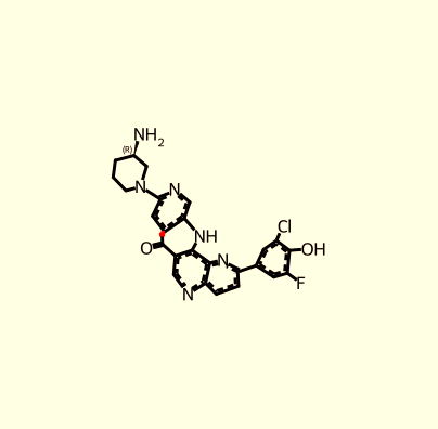 CC(=O)c1cnc2ccc(-c3cc(F)c(O)c(Cl)c3)nc2c1Nc1ccc(N2CCC[C@@H](N)C2)nc1